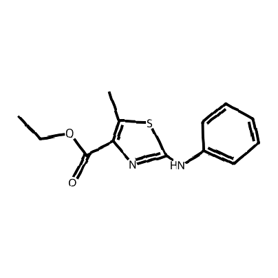 CCOC(=O)c1nc(Nc2ccccc2)sc1C